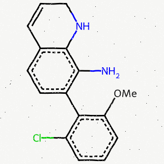 COc1cccc(Cl)c1-c1ccc2c(c1N)NCC=C2